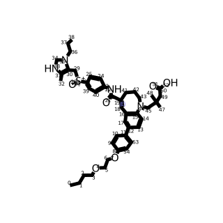 CCCCOCCOc1ccc(-c2ccc3c(c2)/C=C(/C(=O)Nc2ccc([S@@+]([O-])CC4=C(C)NCN4CCC)cc2)CCCN3CC(C)(C)CC(=O)O)cc1